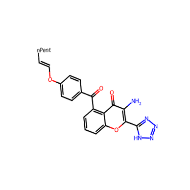 CCCCCC=COc1ccc(C(=O)c2cccc3oc(-c4nnn[nH]4)c(N)c(=O)c23)cc1